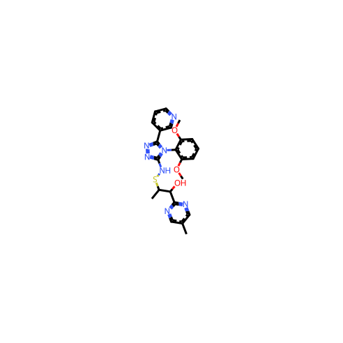 COc1cccc(OC)c1-n1c(NSC(C)C(O)c2ncc(C)cn2)nnc1-c1cccnc1